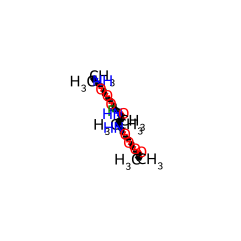 CC(C)NCCOCCOCCOCC(F)CNC(=O)C(C)CC(C)(C)NCCOCCOCCOCC(=O)C(C)C